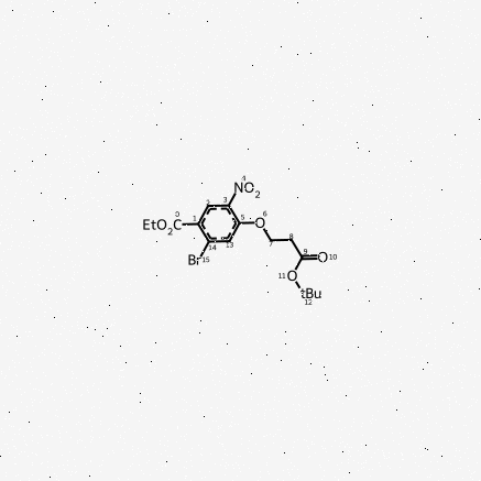 CCOC(=O)c1cc([N+](=O)[O-])c(OCCC(=O)OC(C)(C)C)cc1Br